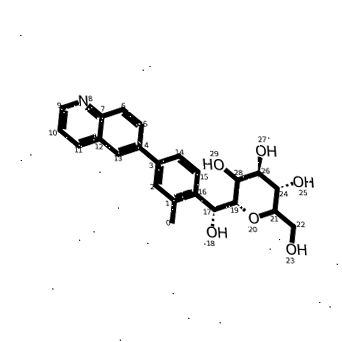 Cc1cc(-c2ccc3ncccc3c2)ccc1[C@@H](O)[C@H]1OC(CO)[C@@H](O)[C@H](O)C1O